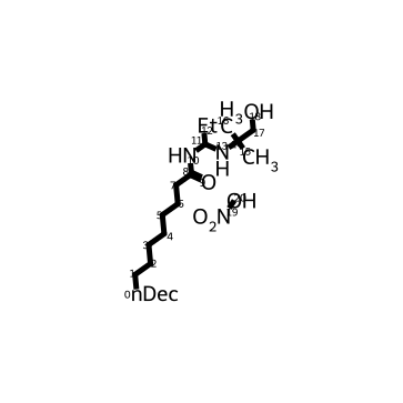 CCCCCCCCCCCCCCCCCC(=O)NC(CC)NC(C)(C)CO.O=[N+]([O-])O